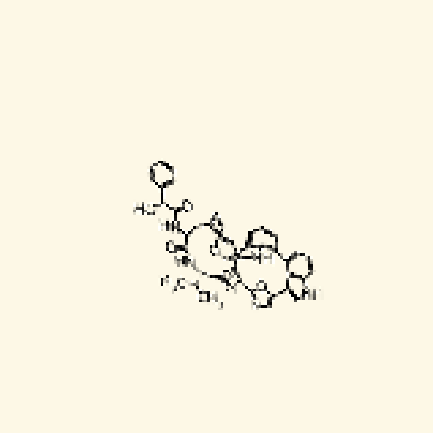 CC(C)[C@@H]1NC(=O)[C@@H](NC(=O)[C@@H](O)c2ccccc2)Cc2ccc3c(c2)C24c5cccc(c5NC2O3)-c2cccc3[nH]cc(c23)-c2cnc(o2)-c2nc1oc24